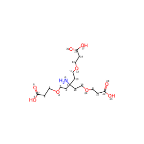 NC(CCOCCC(=O)O)(CCOCCC(=O)O)CCOCCC(=O)O